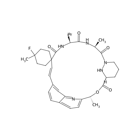 CC(C)[C@@H]1NC(=O)C2(/C=C/c3ccc4ccc(nc4c3)[C@@H](C)OC(=O)[C@@H]3CCCN(N3)C(=O)[C@H](C)NC1=O)CCC(C)(F)CC2